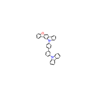 c1cc(-c2ccc(-n3c4ccccc4c4cc5oc6ccccc6c5cc43)cc2)cc(-n2c3ccccc3c3ccccc32)c1